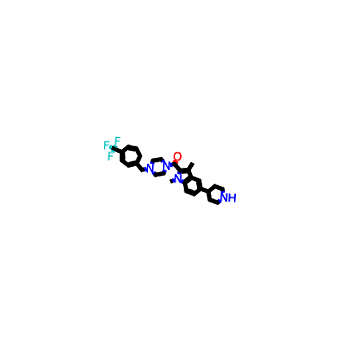 Cc1c(C(=O)N2CCN(CC3=CC=C(C(F)(F)F)C=CC3)CC2)n(C)c2ccc(C3CCNCC3)cc12